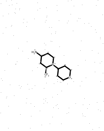 NC1CCN(C2CCOCC2)[C@@H](C(F)(F)F)C1